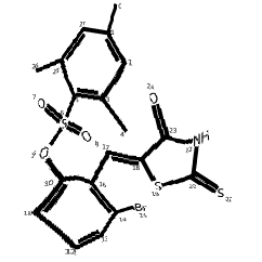 Cc1cc(C)c(S(=O)(=O)Oc2cccc(Br)c2C=C2SC(=S)NC2=O)c(C)c1